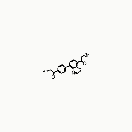 O=C(CBr)c1ccc(-c2ccc(C(=O)CBr)c3scnc23)cc1